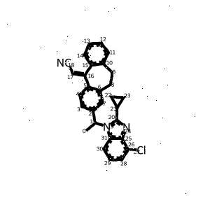 CC(c1ccc2c(c1)CCc1ccccc1C2=CC#N)n1c(C2CC2)nc2c(Cl)cccc21